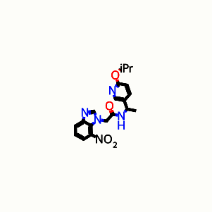 CC(C)Oc1ccc(C(C)NC(=O)Cn2cnc3cccc([N+](=O)[O-])c32)cn1